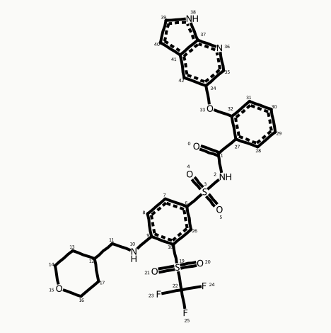 O=C(NS(=O)(=O)c1ccc(NCC2CCOCC2)c(S(=O)(=O)C(F)(F)F)c1)c1ccccc1Oc1cnc2[nH]ccc2c1